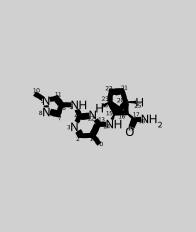 Cc1cnc(Nc2cnn(C)c2)nc1N[C@@H]1[C@H](C(N)=O)[C@H]2C=C[C@@H]1C2